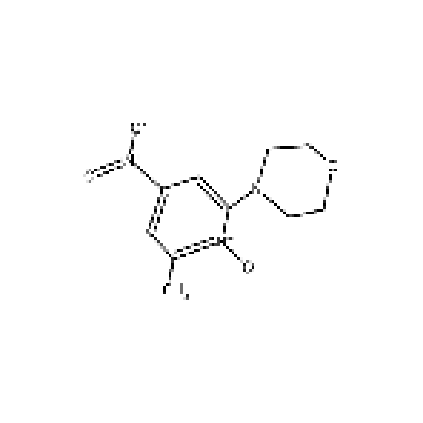 Cc1cc([N+](=O)[O-])cc(N2CCOCC2)[n+]1[O-]